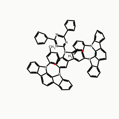 Cc1cccc(-n2c3ccccc3c3ccc4c5ccccc5n(-c5ccc6c(c5)c5cc(-n7c8ccccc8c8ccc9c%10ccccc%10n(-c%10cccc(C)c%10)c9c87)ccc5n6-c5nc(-c6ccccc6)nc(-c6ccccc6)n5)c4c32)c1